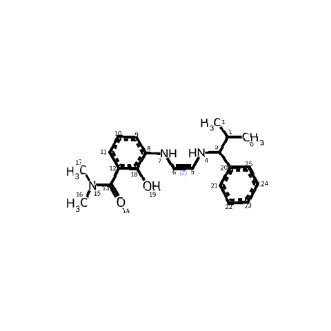 CC(C)C(N/C=C\Nc1cccc(C(=O)N(C)C)c1O)c1ccccc1